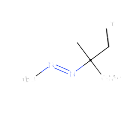 COC(C)(CC(C)C)N=NC(C)(C)C